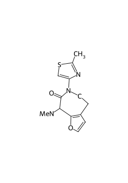 CNC1C(=O)N(c2csc(C)n2)CCc2ccoc21